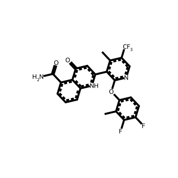 Cc1c(Oc2ncc(C(F)(F)F)c(C)c2-c2cc(=O)c3c(C(N)=O)cccc3[nH]2)ccc(F)c1F